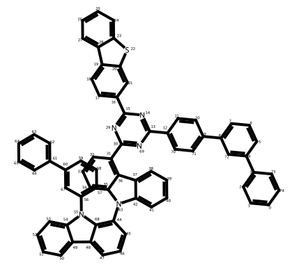 c1ccc(-c2cccc(-c3ccc(-c4nc(-c5ccc6c(c5)sc5ccccc56)nc(-c5cccc6c5c5ccccc5n6-c5cccc6c7ccccc7n(-c7cccc(-c8ccccc8)c7)c56)n4)cc3)c2)cc1